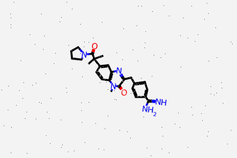 Cn1c(=O)c(Cc2ccc(C(=N)N)cc2)nc2cc(C(C)(C)C(=O)N3CCCC3)ccc21